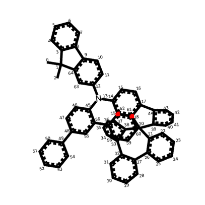 CC1(C)c2ccccc2-c2ccc(N(c3ccc4c(c3)C3(c5ccccc5-c5ccccc5-c5ccccc53)c3ccccc3-4)c3ccc(-c4ccccc4)cc3-c3ccccc3)cc21